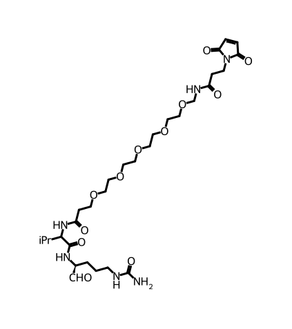 CC(C)C(NC(=O)CCOCCOCCOCCOCCOCNC(=O)CCN1C(=O)C=CC1=O)C(=O)N[C@H](C=O)CCCNC(N)=O